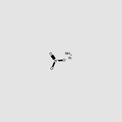 N.O=[N+]([O-])[O-].[Pr]